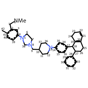 CNCc1cc(N2CCN(CC3CCN(c4ccc(C5C6=C(C=CCC6)CCC5c5ccccc5)cc4)CC3)C2)ccc1C